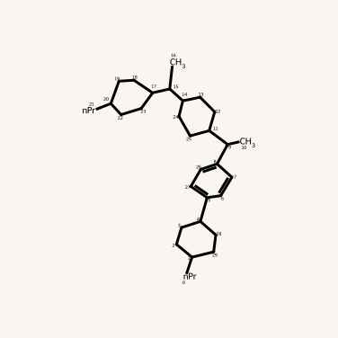 CCCC1CCC(c2ccc(C(C)C3CCC(C(C)C4CCC(CCC)CC4)CC3)cc2)CC1